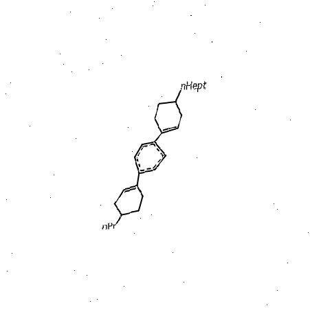 CCCCCCCC1CC=C(c2ccc(C3=CCC(CCC)CC3)cc2)CC1